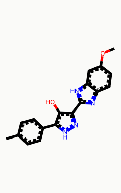 COc1ccc2nc(-c3n[nH]c(-c4ccc(C)cc4)c3O)[nH]c2c1